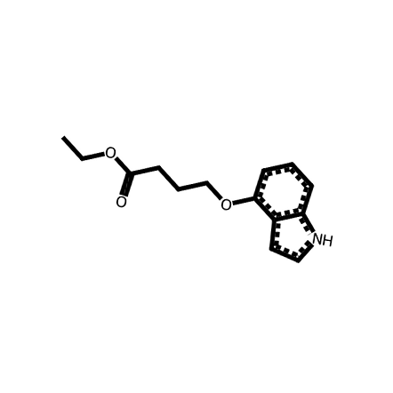 CCOC(=O)CCCOc1cccc2[nH]ccc12